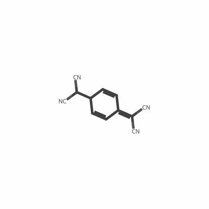 N#CC(C#N)=C1C=CC(C(C#N)C#N)C=C1